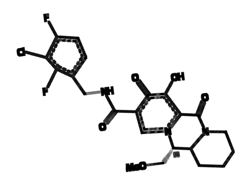 COC[C@H]1C2CCCCN2C(=O)c2c(O)c(=O)c(C(=O)NCc3ccc(F)c(Cl)c3F)cn21